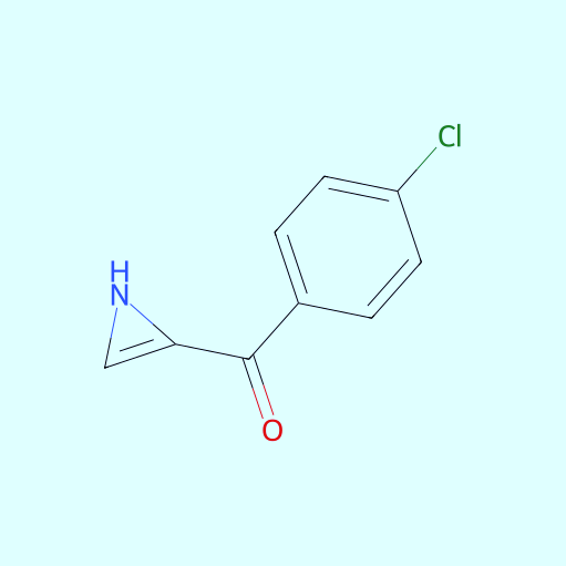 O=C(C1=CN1)c1ccc(Cl)cc1